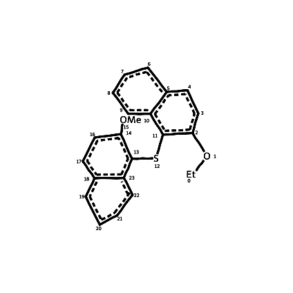 [CH2]COc1ccc2ccccc2c1Sc1c(OC)ccc2ccccc12